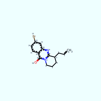 C=CCC1CCCn2c1nc1cc(Br)ccc1c2=O